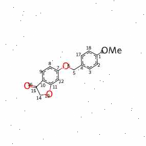 COc1ccc(COc2ccc3c(c2)OCC3=O)cc1